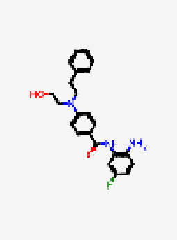 Nc1ccc(F)cc1NC(=O)c1ccc(N(CCO)CCc2ccccc2)cc1